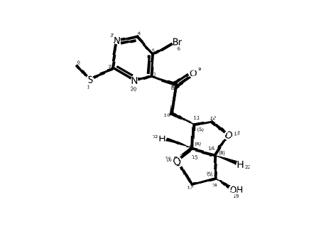 CSc1ncc(Br)c(C(=O)C[C@H]2CO[C@H]3[C@@H]2OC[C@@H]3O)n1